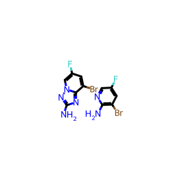 Nc1nc2c(Br)cc(F)cn2n1.Nc1ncc(F)cc1Br